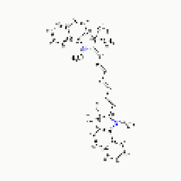 CN1C(=CC=CC=CC=CC2=[N+](C)c3c(ccc4ccccc34)C2(C)C)C(C)(C)c2ccc3ccccc3c21